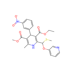 CCOC(=O)C1=C(C(Oc2cccnc2)SC)NC(C)=C(C(=O)OC)C1c1cccc([N+](=O)[O-])c1